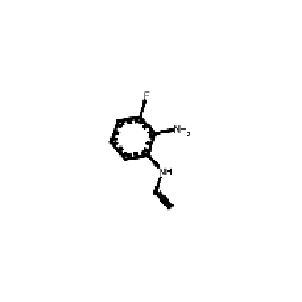 C=CNc1cccc(F)c1N